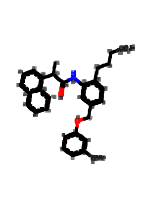 COc1cccc(OCc2ccc(CCCC(=O)O)c(NC(=O)C(C)c3cccc4ccccc34)c2)c1